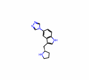 c1cc2[nH]cc(C[C@H]3CCCN3)c2cc1-n1cnnc1